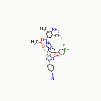 CC(=O)OC(c1cc(C)c(N)c(C)c1)[n+]1cnn(CC(O)(c2cccc(F)c2)C(C)c2nc(-c3ccc(C#N)cc3)cs2)c1.[Br-]